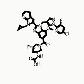 COc1cc(C(=O)N2C[C@H](F)C[C@@H](NC(=O)O)C2)cc2nc(-c3cc4cccnc4n3CC3CC3)n(Cc3cnn(-c4ncc(Cl)cc4F)c3)c12